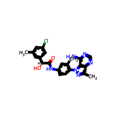 Cc1cc(Cl)cc([C@@H](O)C(=O)Nc2ccc(-n3nc(C)c4ncnc(N)c43)c(C)c2)c1